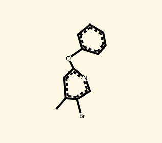 Cc1cc(Oc2ccccc2)ncc1Br